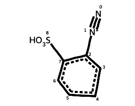 N#[N+]c1ccccc1S(=O)(=O)O